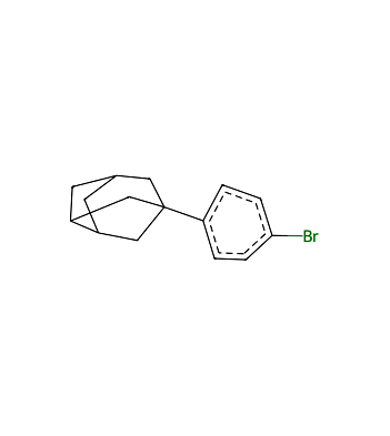 Brc1ccc(C23CC4CC(C2)C(C4)C3)cc1